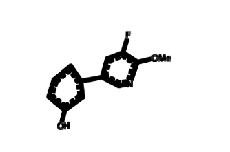 COc1ncc(-c2cccc(O)c2)cc1F